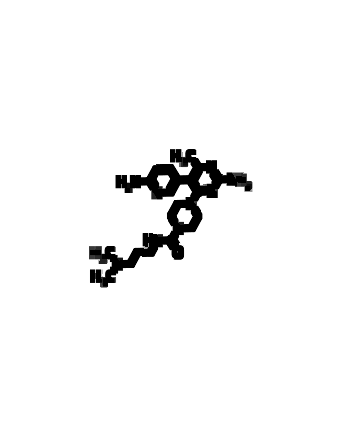 Cc1nc(N)nc(N2CCN(C(=O)NCCCN(C)C)CC2)c1-c1ccc(N)nc1